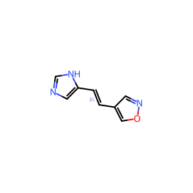 C(=C\c1cnc[nH]1)/c1cnoc1